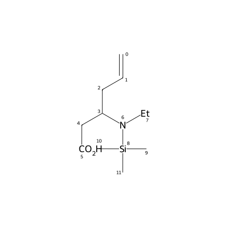 C=CCC(CC(=O)O)N(CC)[Si](C)(C)C